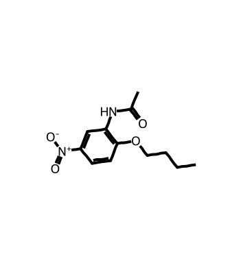 CCCCOc1ccc([N+](=O)[O-])cc1NC(C)=O